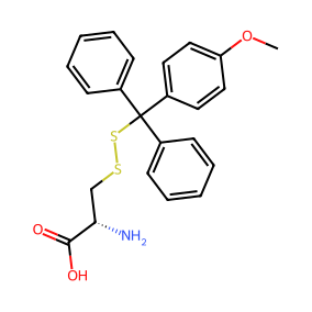 COc1ccc(C(SSC[C@H](N)C(=O)O)(c2ccccc2)c2ccccc2)cc1